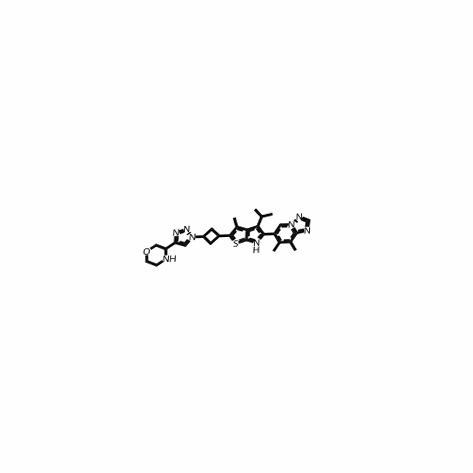 Cc1c(-c2[nH]c3sc(C4CC(n5cc(C6COCCN6)nn5)C4)c(C)c3c2C(C)C)cn2ncnc2c1C